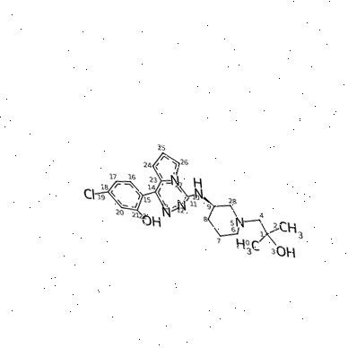 CC(C)(O)CN1CCC[C@@H](Nc2nnc(-c3ccc(Cl)cc3O)c3cccn23)C1